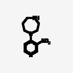 O=[N+]([O-])c1cnccc1N1CCCNCC1